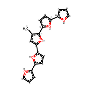 Cc1cc(-c2ccc(-c3ccco3)o2)oc1-c1ccc(-c2ccco2)o1